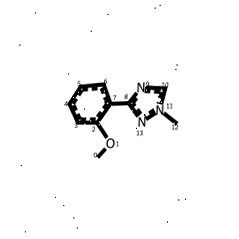 COc1ccc[c]c1-c1ncn(C)n1